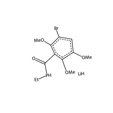 CCPC(=O)c1c(OC)c(Br)cc(OC)c1OC.[LiH]